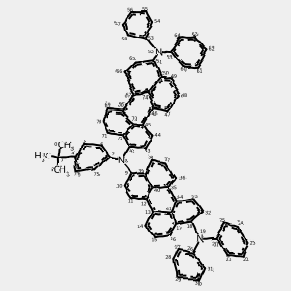 CC(C)(C)c1ccc(N(c2ccc3c4cccc5c(N(c6ccccc6)c6ccccc6)ccc(c6cccc2c63)c54)c2ccc3c4cccc5c(N(c6ccccc6)c6ccccc6)ccc(c6cccc2c63)c54)cc1